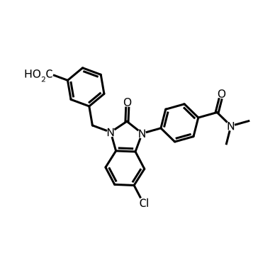 CN(C)C(=O)c1ccc(-n2c(=O)n(Cc3cccc(C(=O)O)c3)c3ccc(Cl)cc32)cc1